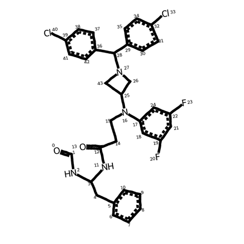 O=CNC(Cc1ccccc1)NC(=O)CCN(c1cc(F)cc(F)c1)C1CN(C(c2ccc(Cl)cc2)c2ccc(Cl)cc2)C1